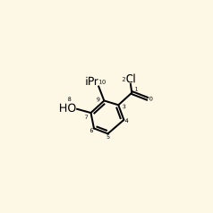 C=C(Cl)c1cccc(O)c1C(C)C